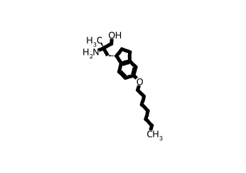 CCCCCCCOc1ccc2c(c1)CC[C@H]2C[C@@](C)(N)CO